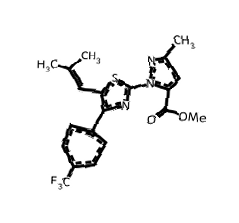 COC(=O)c1cc(C)nn1-c1nc(-c2ccc(C(F)(F)F)cc2)c(C=C(C)C)s1